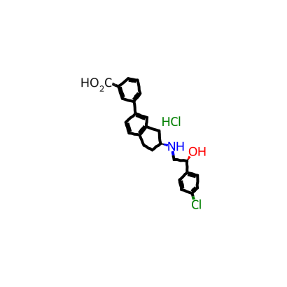 Cl.O=C(O)c1cccc(-c2ccc3c(c2)C[C@@H](NC[C@@H](O)c2ccc(Cl)cc2)CC3)c1